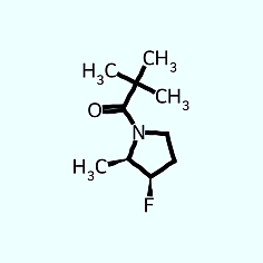 C[C@@H]1[C@H](F)CCN1C(=O)C(C)(C)C